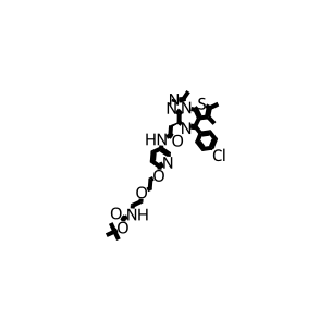 Cc1sc2c(c1C)C(c1ccc(Cl)cc1)=N[C@@H](CC(=O)Nc1ccc(OCCOCCNC(=O)OC(C)(C)C)nc1)c1nnc(C)n1-2